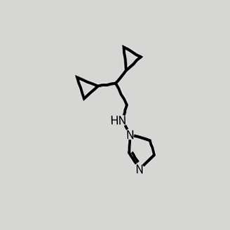 C1=NCCN1NCC(C1CC1)C1CC1